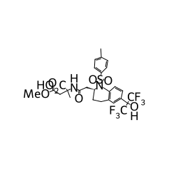 COC(=O)CC(C)(NC(=O)C[C@@H]1CCc2cc(C(O)(C(F)(F)F)C(F)(F)F)ccc2N1S(=O)(=O)c1ccc(C)cc1)C(=O)O